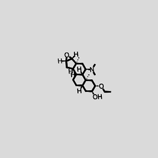 CCO[C@H]1C[C@@]2(C)[C@@H](CC[C@@H]3[C@@H]2[C@H](N(C)C)C[C@@]2(C)[C@H]3C[C@@H]3O[C@@H]32)C[C@@H]1O